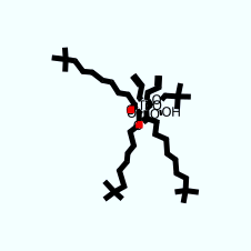 C=C[CH2][Ti](=[O])([CH2]C=C)([O]O)([O]CC(C)(C)C)([C](=O)CCCCCCCC(C)(C)C)([C](=O)CCCCCCCC(C)(C)C)[C](=O)CCCCCCCC(C)(C)C